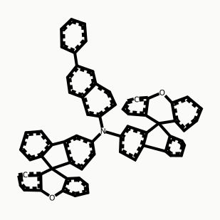 c1ccc(-c2ccc3cc(N(c4ccc5c(c4)-c4ccccc4C54c5ccccc5Oc5ccccc54)c4ccc5c(c4)C4(c6ccccc6Oc6ccccc64)c4ccccc4-5)ccc3c2)cc1